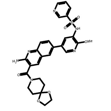 COc1ncc(-c2ccc3nc(N)c(C(=O)N4CCC5(CC4)OCCO5)cc3c2)cc1NS(=O)(=O)c1cccnc1